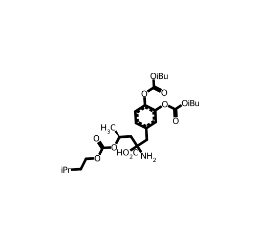 CC(C)CCOC(=O)O[C@@H](C)CC(N)(Cc1ccc(OC(=O)OCC(C)C)c(OC(=O)OCC(C)C)c1)C(=O)O